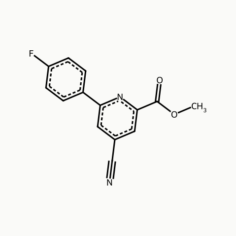 COC(=O)c1cc(C#N)cc(-c2ccc(F)cc2)n1